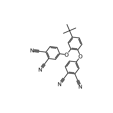 CC(C)(C)c1ccc(Oc2ccc(C#N)c(C#N)c2)c(Oc2ccc(C#N)c(C#N)c2)c1